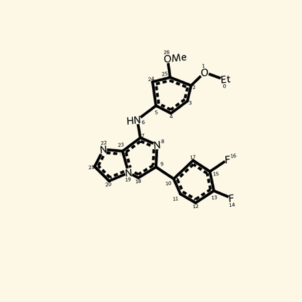 CCOc1ccc(Nc2nc(-c3ccc(F)c(F)c3)cn3ccnc23)cc1OC